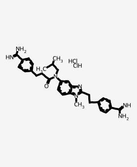 CC(C)CN(C(=O)CCc1ccc(C(=N)N)cc1)c1ccc2c(c1)nc(CCc1ccc(C(=N)N)cc1)n2C.Cl.Cl